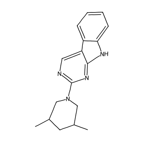 CC1CC(C)CN(c2ncc3c(n2)[nH]c2ccccc23)C1